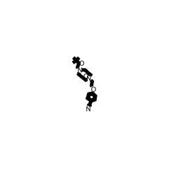 CC(C)(C)C(=O)CN1CC2CN(CCOc3ccc(C#N)cc3)CC(C1)O2